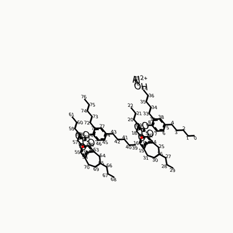 CCCCCc1ccc(OP(=O)([O-])Oc2c3cc(CCCCC)cc2CC(CCC)CC3)c(CCCCC)c1.CCCCCc1ccc(OP(=O)([O-])Oc2c3cc(CCCCC)cc2CC(CCC)CC3)c(CCCCC)c1.[OH][Al+2]